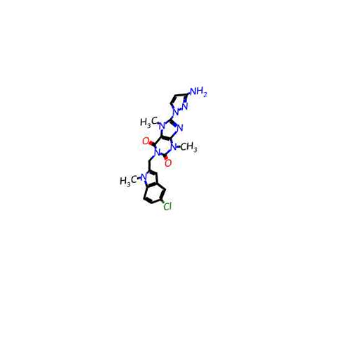 Cn1c(Cn2c(=O)c3c(nc(-n4ccc(N)n4)n3C)n(C)c2=O)cc2cc(Cl)ccc21